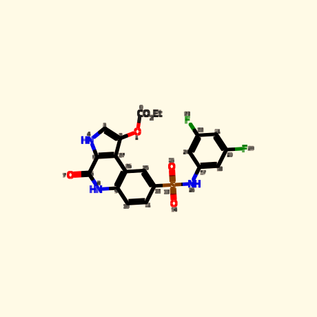 CCOC(=O)Oc1c[nH]c2c(=O)[nH]c3ccc(S(=O)(=O)Nc4cc(F)cc(F)c4)cc3c12